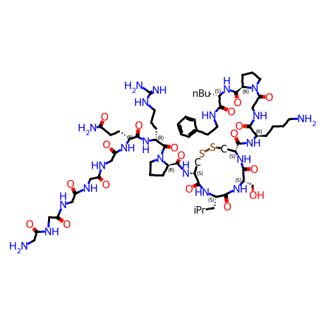 CCCC[C@H](NC(=O)[C@H]1CCCN1C(=O)CNC(=O)[C@@H](CCCCN)NC(=O)[C@H]1CSSC[C@@H](NC(=O)[C@H]2CCCN2C(=O)[C@@H](CCCNC(=N)N)NC(=O)[C@@H](CCC(N)=O)NC(=O)CNC(=O)CNC(=O)CNC(=O)CNC(=O)CN)C(=O)N[C@@H](CC(C)C)C(=O)N[C@@H](CO)C(=O)N1)C(=O)NCCc1ccccc1